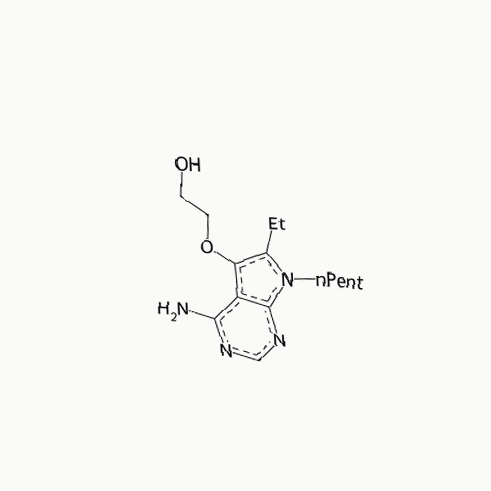 CCCCCn1c(CC)c(OCCO)c2c(N)ncnc21